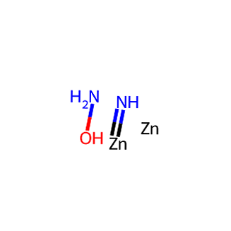 NO.[NH]=[Zn].[Zn]